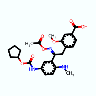 CNc1ccc(NC(=O)OC2CCCC2)cc1C(Cc1ccc(C(=O)O)cc1OC)=NOC(C)=O